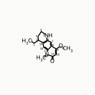 CCC1CCNc2cc3c(OC)cc(=O)n(C)c3cc21